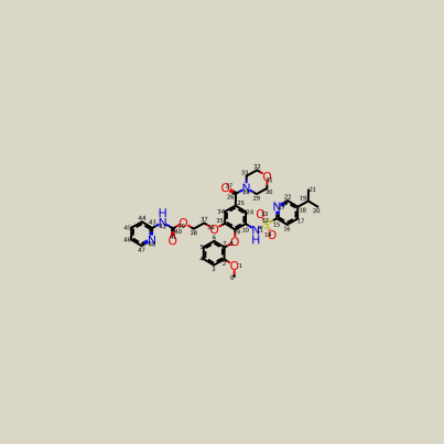 COc1ccccc1Oc1c(NS(=O)(=O)c2ccc(C(C)C)cn2)cc(C(=O)N2CCOCC2)cc1OCCOC(=O)Nc1ccccn1